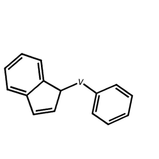 C1=C[CH]([V][c]2ccccc2)c2ccccc21